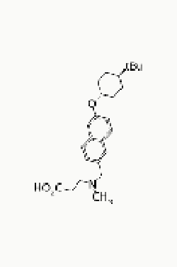 CN(CCC(=O)O)Cc1ccc2cc(O[C@H]3CC[C@H](C(C)(C)C)CC3)ccc2c1